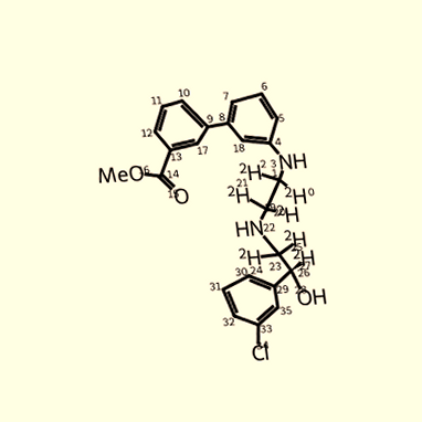 [2H]C([2H])(Nc1cccc(-c2cccc(C(=O)OC)c2)c1)C([2H])([2H])NC([2H])([2H])[C@]([2H])(O)c1cccc(Cl)c1